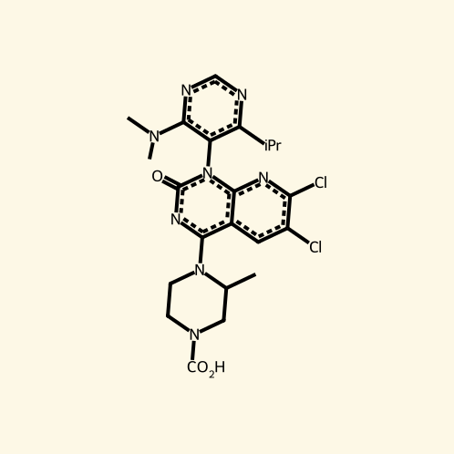 CC(C)c1ncnc(N(C)C)c1-n1c(=O)nc(N2CCN(C(=O)O)CC2C)c2cc(Cl)c(Cl)nc21